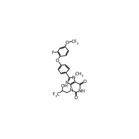 Cn1c(-c2ccc(Oc3ccc(OC(F)(F)F)cc3F)cc2)nc2c1c(=O)[nH]c(=O)n2CC(O)C(F)(F)F